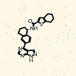 O=C(N[C@H]1CCCc2cc(-c3ncnc4[nH]ncc34)ccc21)c1cc2c(s1)CCCC2